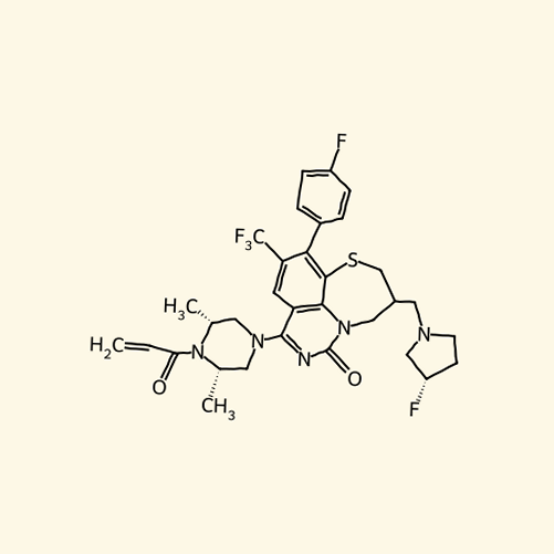 C=CC(=O)N1[C@H](C)CN(c2nc(=O)n3c4c(c(-c5ccc(F)cc5)c(C(F)(F)F)cc24)SCC(CN2CC[C@H](F)C2)C3)C[C@@H]1C